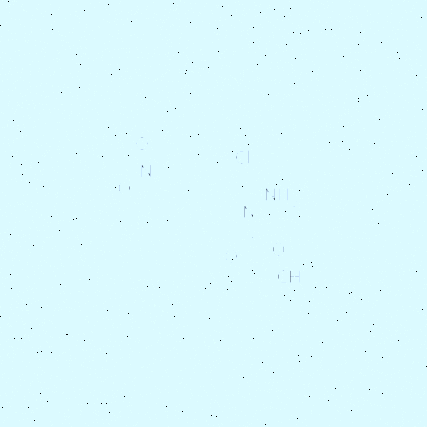 COC(=O)N(N)c1ccc([N+](=O)[O-])cc1Cl